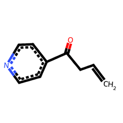 C=CCC(=O)c1ccncc1